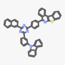 c1cc(-c2nc(-c3ccc(-c4nc5sc6ccccc6c5c5ccccc45)cc3)nc(-c3ccc4ccccc4c3)n2)cc(-n2c3ccccc3c3ccccc32)c1